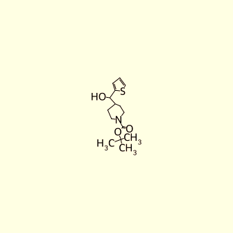 CC(C)(C)OC(=O)N1CCC(C(O)c2cccs2)CC1